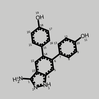 Nc1n[nH]c2cc(-c3ccc(O)cc3)c(-c3ccc(O)cc3)cc12